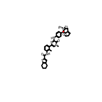 CCN(C(C)C)C(C(=O)/C1=C\CCOCCC1)c1ccc(Nc2nc(-c3cccc(NC(=O)c4cc5c(s4)CCCC5)c3C)cn(C)c2=O)cc1